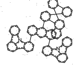 c1ccc2c(c1)-c1ccccc1C21c2cccc(-c3c4cccc(-c5cccc6c7cccc8c9ccccc9n(c56)c87)c4cc4c(-c5cccc6c7cccc8c9ccccc9n(c56)c87)cccc34)c2-c2c1ccc1ccccc21